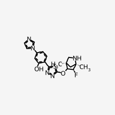 C[C@]12CN[C@](C)(C1)[C@@H](F)C2Oc1nnc(-c2ccc(-n3ccnc3)cc2O)s1